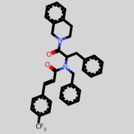 O=C(C(Cc1ccccc1)N(Cc1ccccc1)C(=O)C=Cc1ccc(C(F)(F)F)cc1)N1CCc2ccccc2C1